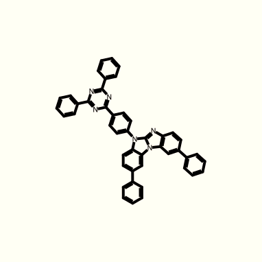 c1ccc(-c2ccc3nc4n(-c5ccc(-c6nc(-c7ccccc7)nc(-c7ccccc7)n6)cc5)c5ccc(-c6ccccc6)cc5n4c3c2)cc1